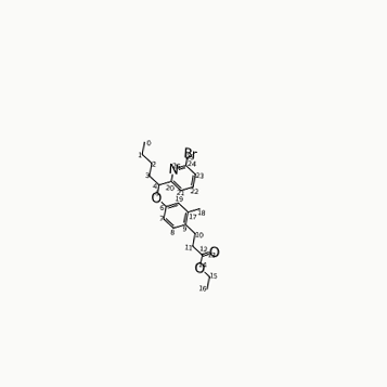 CCCCC(Oc1ccc(CCC(=O)OCC)c(C)c1)c1cccc(Br)n1